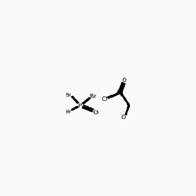 O=C(Cl)CCl.O=P(Br)(Br)Br